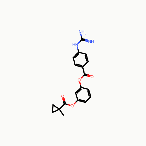 CC1(C(=O)Oc2cccc(OC(=O)c3ccc(NC(=N)N)cc3)c2)CC1